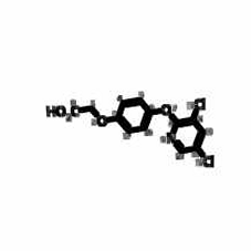 O=C(O)COc1ccc(Oc2ncc(Cl)cc2Cl)cc1